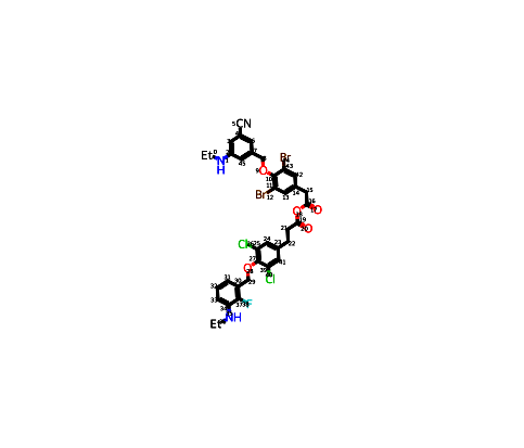 CCNc1cc(C#N)cc(COc2c(Br)cc(CC(=O)OC(=O)CCc3cc(Cl)c(OCc4cccc(NCC)c4F)c(Cl)c3)cc2Br)c1